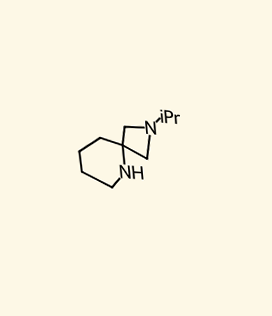 CC(C)N1CC2(CCCCN2)C1